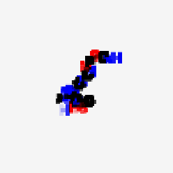 CC(C)NC(=N)c1nnc(-c2ccccc2O)cc1NC1CCN(c2ccnc(OC3CC(OC4CCNCC4)C3)c2)CC1